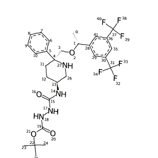 C[C@@H](OC[C@@]1(c2ccccc2)CC[C@H](NC(=O)NNC(=O)OC(C)(C)C)CN1)c1cc(C(F)(F)F)cc(C(F)(F)F)c1